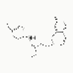 C=C/C=C1/CC(CC/C(=C\NC2=CC=C(CC)CC2)CC)=CC=C/C1=C/C